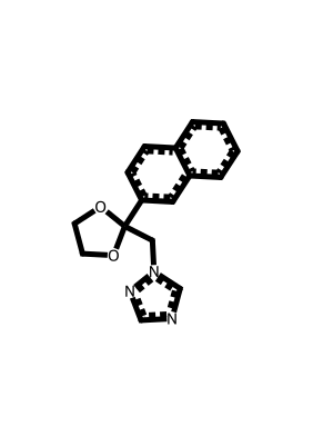 c1ccc2cc(C3(Cn4cncn4)OCCO3)ccc2c1